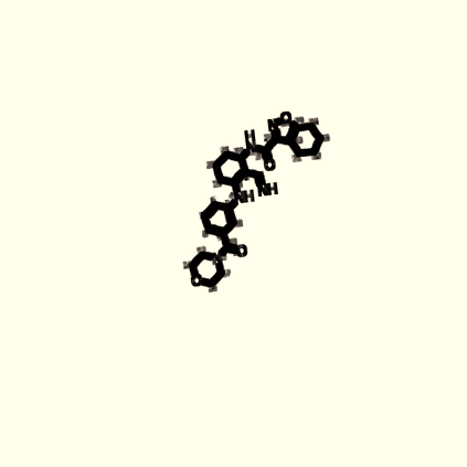 N=CC1=C(Nc2cccc(C(=O)N3CCOCC3)c2)CCCC1NC(=O)c1noc2c1CCCC2